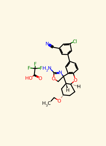 CCO[C@H]1CC[C@@H]2Oc3ccc(-c4cc(Cl)cc(C#N)c4)cc3C3(COC(N)=N3)[C@H]2C1.O=C(O)C(F)(F)F